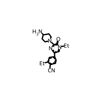 CCc1cc(-c2cn(CC)c(=O)c(N3CCC(N)CC3)n2)ccc1C#N